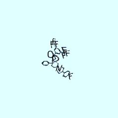 O=C(OCC1(c2ccccc2)CCC(N2CCC(c3ccc(F)cc3)CC2)CC1)c1cc(C(F)(F)F)cc(C(F)(F)F)c1